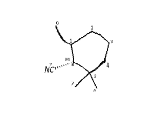 CC1CCCC(C)(C)[C@@H]1C#N